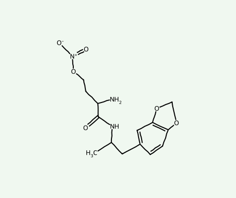 CC(Cc1ccc2c(c1)OCO2)NC(=O)C(N)CCO[N+](=O)[O-]